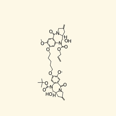 C=CCOC(=O)N1c2cc(OCCCCCOc3cc4c(cc3OC)C(=O)N3CC(=C)C[C@H]3[C@H](O)N4C(=O)OC(C)(C)C)c(OC)cc2C(=O)N2CC(=C)C[C@H]2[C@@H]1O